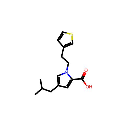 CC(C)Cc1cc(C(=O)O)n(CCc2ccsc2)c1